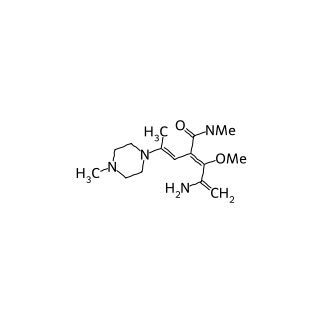 C=C(N)/C(OC)=C(\C=C(/C)N1CCN(C)CC1)C(=O)NC